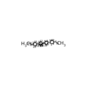 CCC[C@H]1CC[C@H](c2ccc(-c3ccc([C@H]4CC[C@H](CCC)CC4)nn3)cc2)CC1